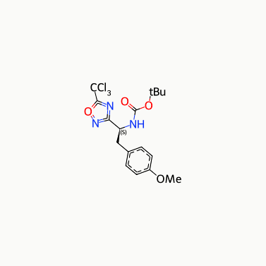 COc1ccc(C[C@H](NC(=O)OC(C)(C)C)c2noc(C(Cl)(Cl)Cl)n2)cc1